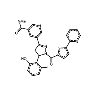 CNC(=O)c1cncc(C2=NN(C(=O)c3ccc(-c4ccccn4)s3)C(c3c(O)cccc3F)C2)c1